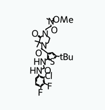 CON(C)C(=O)CN1CCN(C(=O)c2cc(C(C)(C)C)sc2NC(=O)Nc2ccc(F)c(F)c2Cl)C(C)(C)C1=O